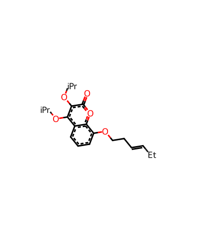 CCC=CCCOc1cccc2c(OC(C)C)c(OC(C)C)c(=O)oc12